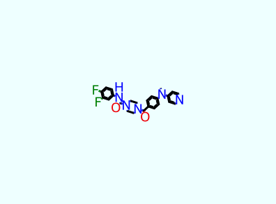 CN(c1ccncc1)c1ccc(C(=O)N2CCN(C(=O)Nc3ccc(F)c(F)c3)CC2)cc1